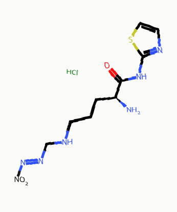 Cl.N[C@@H](CCCNCN=N[N+](=O)[O-])C(=O)Nc1nccs1